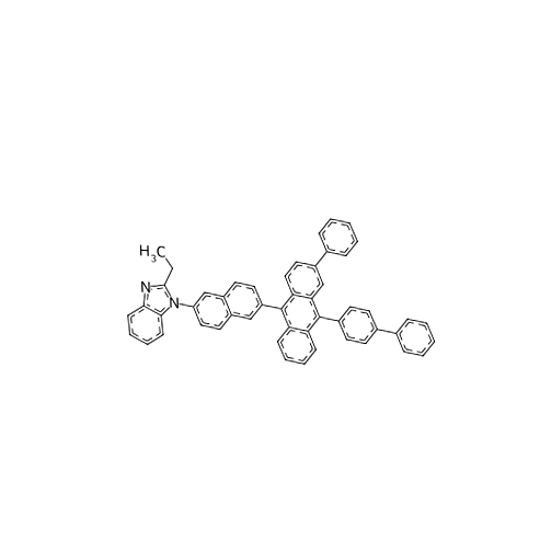 CCc1nc2ccccc2n1-c1ccc2cc(-c3c4ccccc4c(-c4ccc(-c5ccccc5)cc4)c4cc(-c5ccccc5)ccc34)ccc2c1